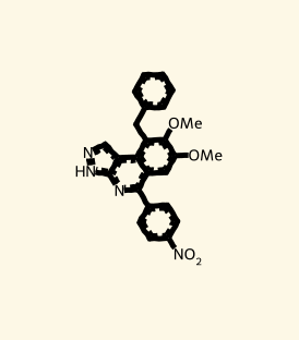 COc1cc2c(-c3ccc([N+](=O)[O-])cc3)nc3[nH]ncc3c2c(Cc2ccccc2)c1OC